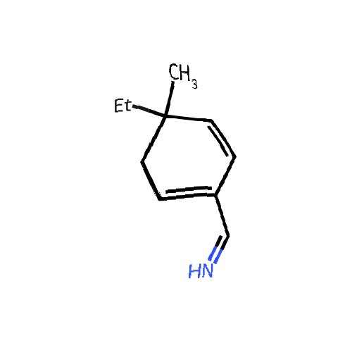 CCC1(C)C=CC(C=N)=CC1